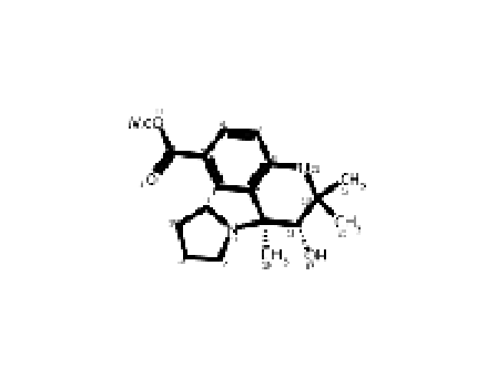 COC(=O)c1ccc2c(c1)[C@](C)(N1CCCC1)[C@@H](O)C(C)(C)O2